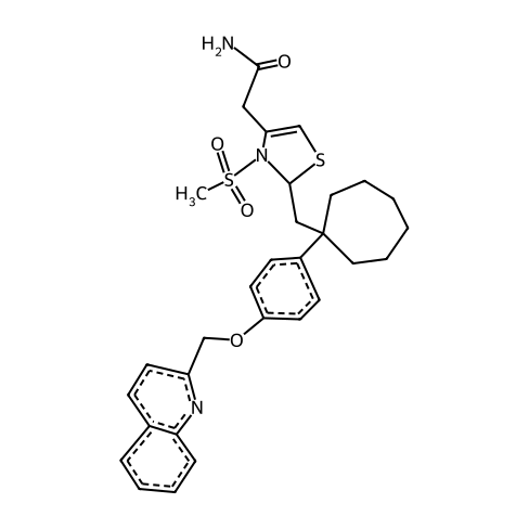 CS(=O)(=O)N1C(CC(N)=O)=CSC1CC1(c2ccc(OCc3ccc4ccccc4n3)cc2)CCCCCC1